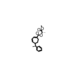 COC(=O)[C@H](C)OC(=O)C1=CC=CC([C@H](C)c2ccccc2)CC1